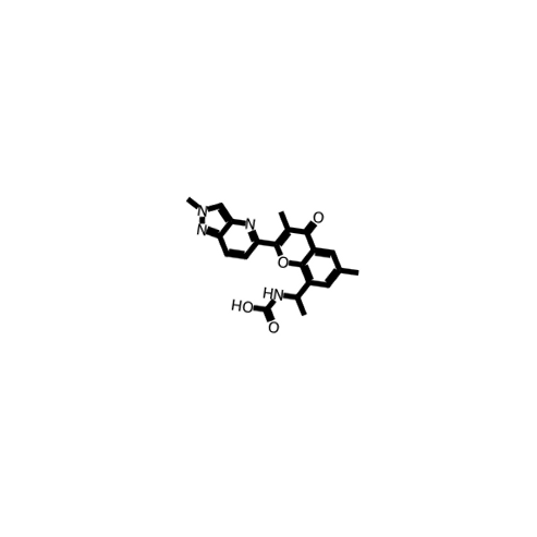 Cc1cc(C(C)NC(=O)O)c2oc(-c3ccc4nn(C)cc4n3)c(C)c(=O)c2c1